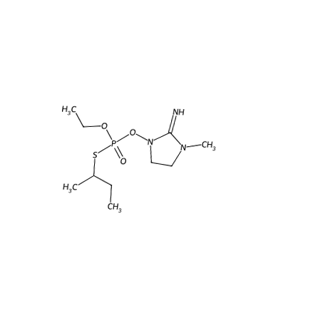 CCOP(=O)(ON1CCN(C)C1=N)SC(C)CC